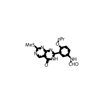 CCCOc1ccc(NC=O)cc1-c1nc2nc(SC)ncc2c(=O)[nH]1